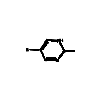 CC1N=CC(Br)=CN1